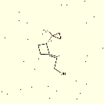 CC1([C@H]2CCC2=CCO)CC1